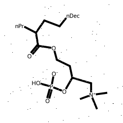 CCCCCCCCCCCCC(CCC)C(=O)OCCC(C[N+](C)(C)C)OP(=O)([O-])O